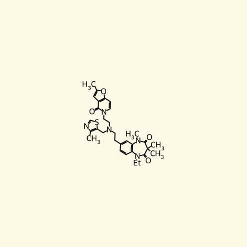 CCN1C(=O)C(C)(C)C(=O)N(C)c2cc(CCN(CCn3ccc4oc(C)cc4c3=O)Cc3scnc3C)ccc21